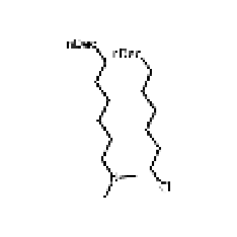 CCCCCCCCCCCCCCCCCl.CCCCCCCCCCCCCCCCN(C)C